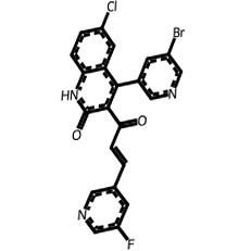 O=C(/C=C/c1cncc(F)c1)c1c(-c2cncc(Br)c2)c2cc(Cl)ccc2[nH]c1=O